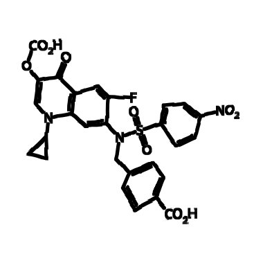 O=C(O)Oc1cn(C2CC2)c2cc(N(Cc3ccc(C(=O)O)cc3)S(=O)(=O)c3ccc([N+](=O)[O-])cc3)c(F)cc2c1=O